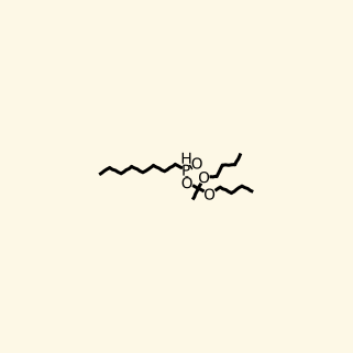 CCCCCCCC[PH](=O)OC(C)(OCCCC)OCCCC